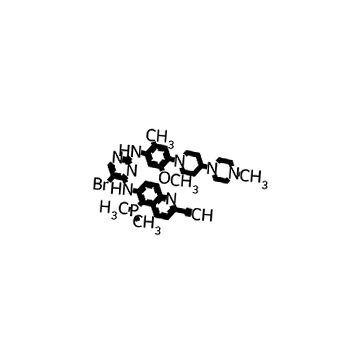 C#Cc1ccc2c(P(C)C)c(Nc3nc(Nc4cc(OC)c(N5CCC(N6CCN(C)CC6)CC5)cc4C)ncc3Br)ccc2n1